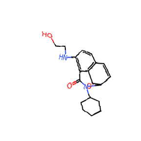 O=C1c2c3ccc(NCCO)c2C(=O)N(C2CCCCC2)C1C=C3